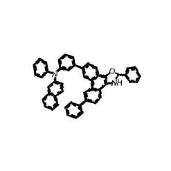 c1ccc(-c2ccc3c4c(c5ccc(-c6cccc(N(c7ccccc7)c7ccc8ccccc8c7)c6)cc5c3c2)OC(c2ccccc2)N4)cc1